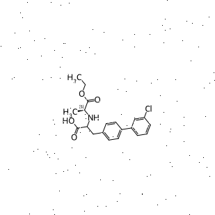 CCOC(=O)[C@H](C)NC(Cc1ccc(-c2cccc(Cl)c2)cc1)C(=O)O